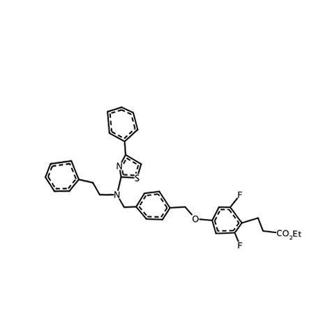 CCOC(=O)CCc1c(F)cc(OCc2ccc(CN(CCc3ccccc3)c3nc(-c4ccccc4)cs3)cc2)cc1F